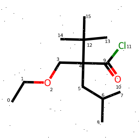 CCOCC(CC(C)C)(C(=O)Cl)C(C)(C)C